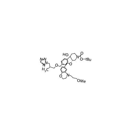 COCCCN1CCOc2ccc(CO[C@H]3CN(C(=O)OC(C)(C)C)CC[C@]3(O)c3ccc(COCC(C)Cn4ncnn4)cc3)cc21